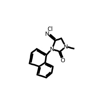 CN1CC(=NCl)N(c2cccc3ccccc23)C1=O